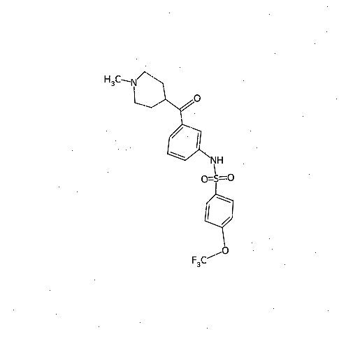 CN1CCC(C(=O)c2cccc(NS(=O)(=O)c3ccc(OC(F)(F)F)cc3)c2)CC1